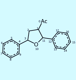 CC(=O)C1CC(c2ccccc2)OC1c1ccccc1